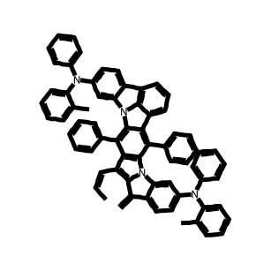 C=c1c2ccc(N(c3ccccc3)c3ccccc3C)cc2n2c1c(/C=C\C)c1c(-c3ccccc3)c3c(c(-c4ccccc4)c12)c1cccc2c4ccc(N(c5ccccc5)c5ccccc5C)cc4n3c21